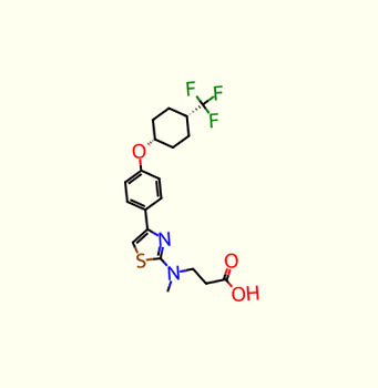 CN(CCC(=O)O)c1nc(-c2ccc(O[C@H]3CC[C@@H](C(F)(F)F)CC3)cc2)cs1